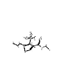 CCCc1scc(C(=O)OCC)c1S(=O)(=O)Cl